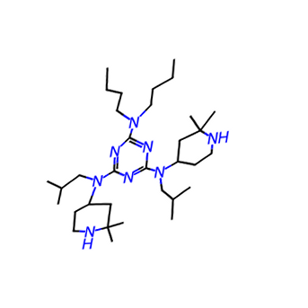 CCCCN(CCCC)c1nc(N(CC(C)C)C2CCNC(C)(C)C2)nc(N(CC(C)C)C2CCNC(C)(C)C2)n1